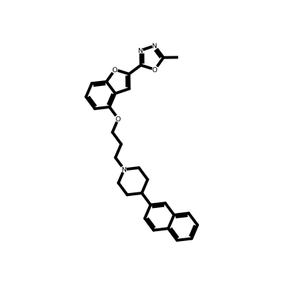 Cc1nnc(-c2cc3c(OCCCN4CCC(c5ccc6ccccc6c5)CC4)cccc3o2)o1